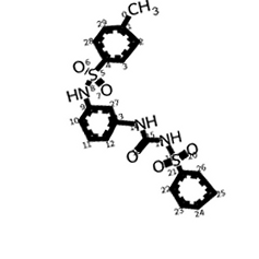 Cc1ccc(S(=O)(=O)Nc2cccc(NC(=O)NS(=O)(=O)c3ccccc3)c2)cc1